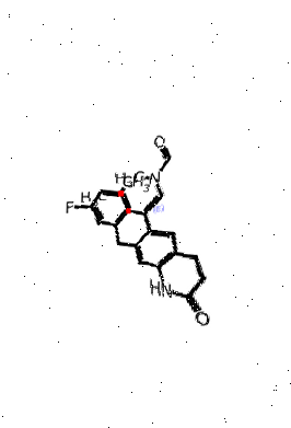 CC(C)=C/C(=C\N(C)C=O)c1cc2c(cc1Cc1cccc(F)c1)NC(=O)CC2